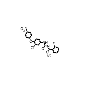 CCOC(=NC(=O)Nc1ccc(Oc2ccc([N+](=O)[O-])cc2)c(Cl)c1)c1ccccc1F